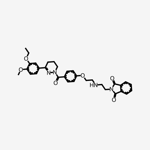 CCOc1cc(C2=NN(C(=O)c3ccc(OCCNCCN4C(=O)c5ccccc5C4=O)cc3)CCC2)ccc1OC